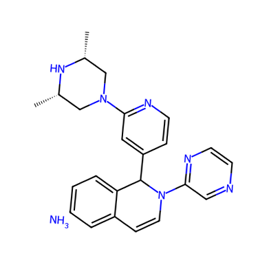 C[C@@H]1CN(c2cc(C3c4ccccc4C=CN3c3cnccn3)ccn2)C[C@H](C)N1.N